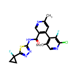 COc1cnc(Cl)c(F)c1-c1cc(C)ncc1C(=O)Nc1nnc(C2(F)CC2)s1